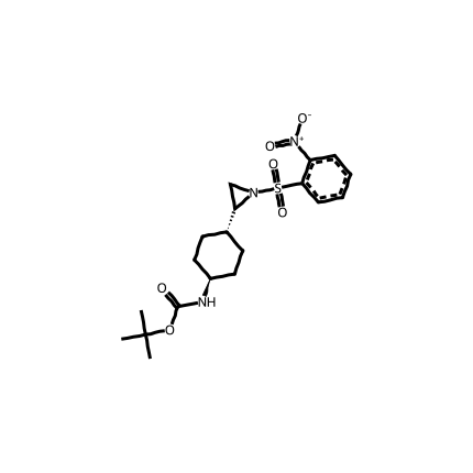 CC(C)(C)OC(=O)N[C@H]1CC[C@H](C2CN2S(=O)(=O)c2ccccc2[N+](=O)[O-])CC1